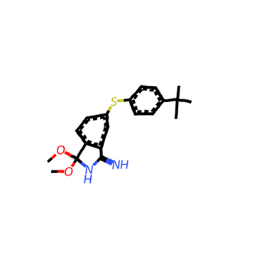 COC1(OC)NC(=N)c2cc(Sc3ccc(C(C)(C)C)cc3)ccc21